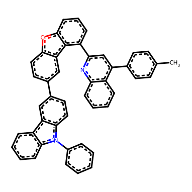 Cc1ccc(-c2cc(-c3cccc4oc5ccc(-c6ccc7c(c6)c6ccccc6n7-c6ccccc6)cc5c34)nc3ccccc23)cc1